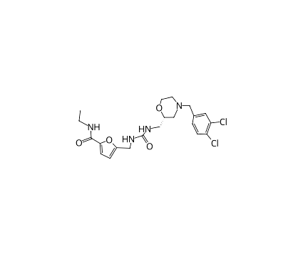 CCNC(=O)c1ccc(CNC(=O)NC[C@H]2CN(Cc3ccc(Cl)c(Cl)c3)CCO2)o1